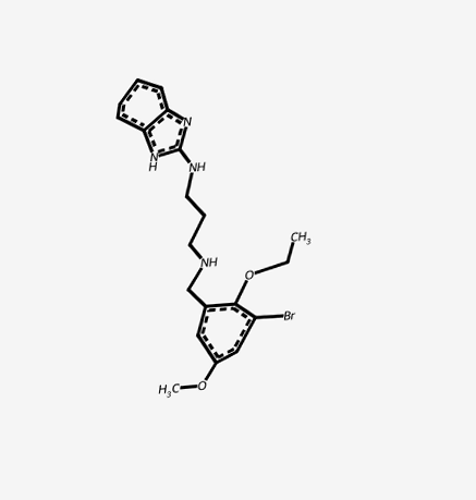 CCOc1c(Br)cc(OC)cc1CNCCCNc1nc2ccccc2[nH]1